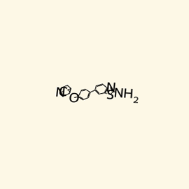 Nc1nc2ccc(-c3ccc(OC4CN5CCC4CC5)cc3)cc2s1